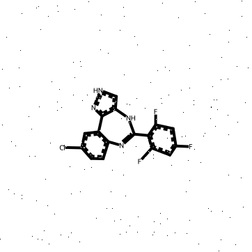 Fc1cc(F)c(C2=Nc3ccc(Cl)cc3-c3n[nH]cc3N2)c(F)c1